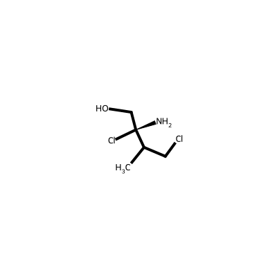 CC(CCl)[C@](N)(Cl)CO